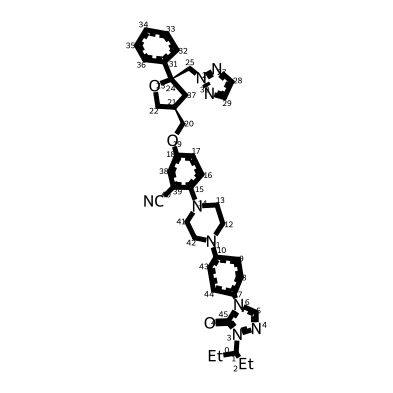 CCC(CC)n1ncn(-c2ccc(N3CCN(c4ccc(OC[C@H]5CO[C@](Cn6nccn6)(c6ccccc6)C5)cc4C#N)CC3)cc2)c1=O